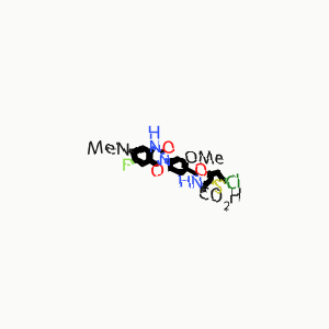 CNc1cc2[nH]c(=O)n(-c3ccc(C(=O)NC(C(=O)O)c4ccc(Cl)s4)c(OC)c3)c(=O)c2cc1F